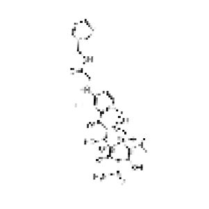 CN(C)[C@@H]1C(O)=C(C(N)=O)C(=O)[C@]2(O)C(O)=C3C(=O)c4c(ccc(NCC(=O)NCc5ccccc5)c4O)C[C@@H]3C[C@H]12